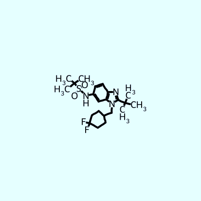 CC(C)(C)c1nc2ccc(NS(=O)(=O)C(C)(C)C)cc2n1CC1CCC(F)(F)CC1